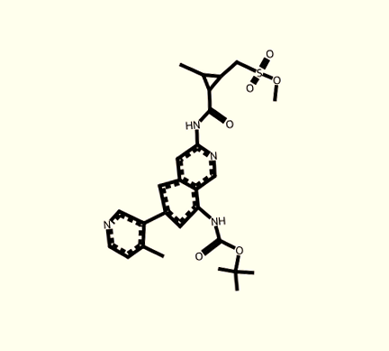 COS(=O)(=O)CC1C(C)C1C(=O)Nc1cc2cc(-c3cnccc3C)cc(NC(=O)OC(C)(C)C)c2cn1